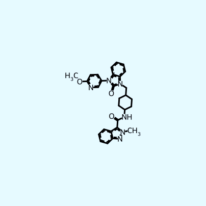 COc1ccc(-n2c(=O)n(CC3CCC(NC(=O)c4c5ccccc5nn4C)CC3)c3ccccc32)cn1